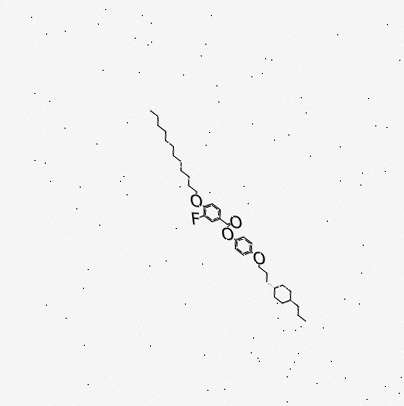 CCCCCCCCCCCCOc1ccc(C(=O)Oc2ccc(OCCC[C@H]3CC[C@H](CCC)CC3)cc2)cc1F